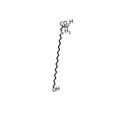 N[C@@H](CSCCCCCCCCCCCCCCCCCCCO)C(=O)O